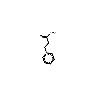 CNC(=O)CC[n+]1ccccc1